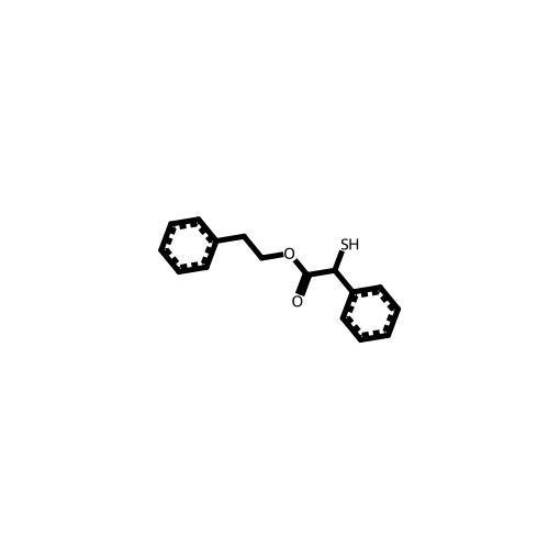 O=C(OCCc1ccccc1)C(S)c1ccccc1